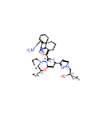 C[C@H](Oc1cc(-c2ccn(C[C@@H](C)O)n2)nc(-c2onc3c2CCC[C@@]32CCCc3sc(N)c(C#N)c32)n1)[C@@H]1CCCN1C